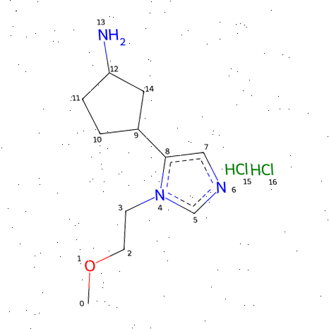 COCCn1cncc1C1CCC(N)C1.Cl.Cl